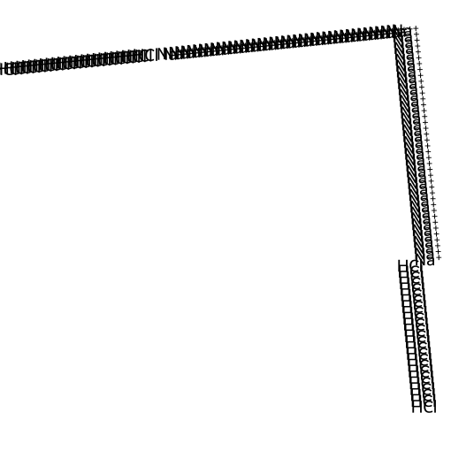 Cl.Cl.Cl.Cl.Cl.Cl.Cl.Cl.Cl.Cl.Cl.Cl.Cl.Cl.Cl.Cl.Cl.Cl.Cl.Cl.Cl.Cl.Cl.Cl.Cl.Cl.Cl.Cl.Cl.Cl.Cl.Cl.Cl.Cl.Cl.Cl.Cl.Cl.Cl.Cl.Cl.Cl.Cl.Cl.Cl.Cl.Cl.Cl.Cl.Cl.[Na+].[Na+].[Na+].[Na+].[Na+].[Na+].[Na+].[Na+].[Na+].[Na+].[Na+].[Na+].[Na+].[Na+].[Na+].[Na+].[Na+].[Na+].[Na+].[Na+].[Na+].[Na+].[Na+].[Na+].[Na+].[Na+].[Na+].[Na+].[Na+].[Na+].[Na+].[Na+].[Na+].[Na+].[Na+].[Na+].[Na+].[Na+].[Na+].[Na+].[Na+].[Na+].[Na+].[Na+].[Na+].[Na+].[Na+].[Na+].[Na+].[Na+].[Na+].[Na+].[Na+].[Na+].[Na+].[Na+].[Na+].[Na+].[Na+].[Na+].[Na+].[Na+].[Na+].[Na+].[Na+].[Na+].[Na+].[Na+].[Na+].[Na+].[Na+].[Na+].[Na+].[Na+].[Na+].[Na+].[Na+].[Na+].[Na+].[Na+]